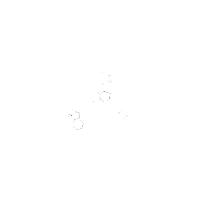 C[C@@H]1C[C@@H]1COc1nc(C(=O)N[C@H](C)C2CC2)nc(N2CCC(c3n[nH]c4ncccc34)CC2)n1